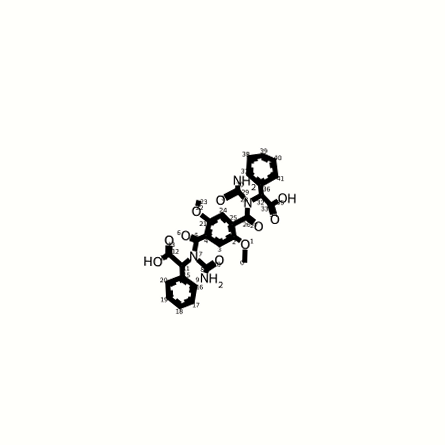 COc1cc(C(=O)N(C(N)=O)C(C(=O)O)c2ccccc2)c(OC)cc1C(=O)N(C(N)=O)C(C(=O)O)c1ccccc1